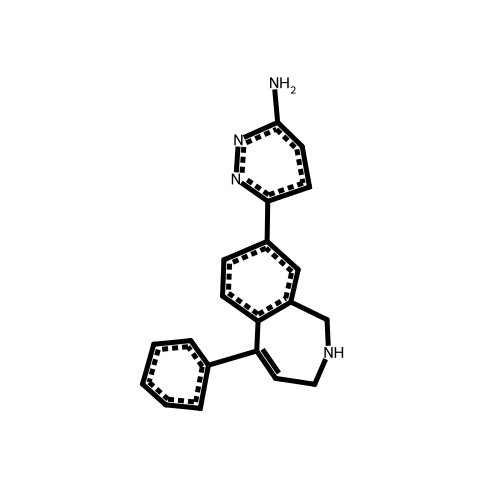 Nc1ccc(-c2ccc3c(c2)CNCC=C3c2ccccc2)nn1